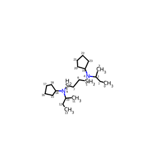 CCC(C)N([SiH2]CC[SiH2]N(C(C)CC)C1CCCC1)C1CCCC1